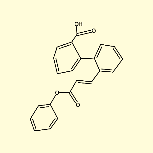 O=C(/C=C/c1ccccc1-c1ccccc1C(=O)O)Oc1ccccc1